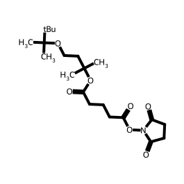 CC(C)(CCOC(C)(C)C(C)(C)C)OC(=O)CCCC(=O)ON1C(=O)CCC1=O